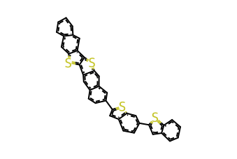 c1ccc2cc3c(cc2c1)sc1c2cc4ccc(-c5cc6ccc(-c7cc8ccccc8s7)cc6s5)cc4cc2sc31